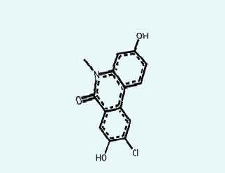 Cn1c(=O)c2cc(O)c(Cl)cc2c2ccc(O)cc21